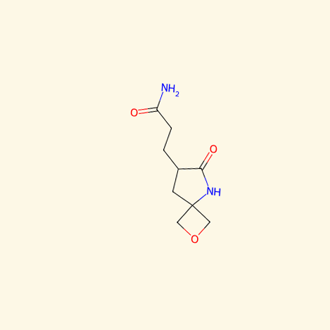 NC(=O)CCC1CC2(COC2)NC1=O